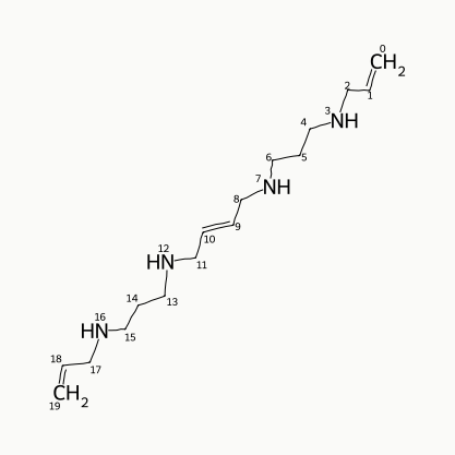 C=CCNCCCNCC=CCNCCCNCC=C